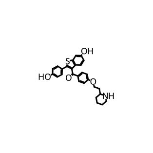 O=C(c1ccc(OCCC2CCCCN2)cc1)c1c(-c2ccc(O)cc2)sc2cc(O)ccc12